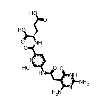 Cl.Nc1nc(N)c(CC(=O)Nc2ccc(C(=O)N[C@H](CCC(=O)O)C(=O)O)nc2)c(=O)[nH]1